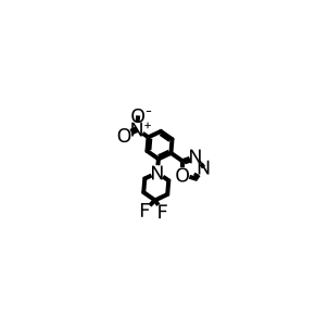 O=[N+]([O-])c1ccc(-c2nnco2)c(N2CCC(F)(F)CC2)c1